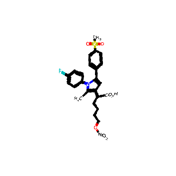 Cc1c(C(CCCCO[N+](=O)[O-])C(=O)O)cc(-c2ccc(S(C)(=O)=O)cc2)n1-c1ccc(F)cc1